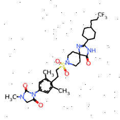 Cc1cc(N2C(=O)CN(C)C2=O)cc(C)c1CCS(=O)(=O)N1CCC2(CC1)N=C(C1CCC(CCC(F)(F)F)CC1)NC2=O